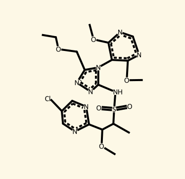 CCOCc1nnc(NS(=O)(=O)C(C)C(OC)c2ncc(Cl)cn2)n1-c1c(OC)ncnc1OC